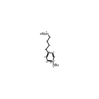 CCCCCCCCCCCCCc1cc[n+](CCCC)cc1